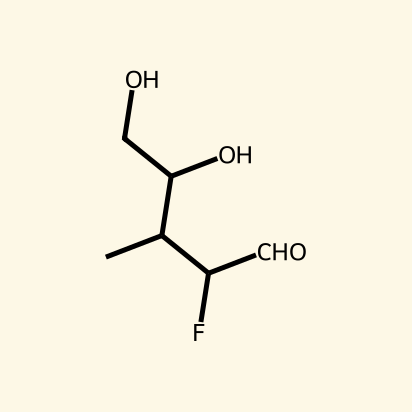 CC(C(F)C=O)C(O)CO